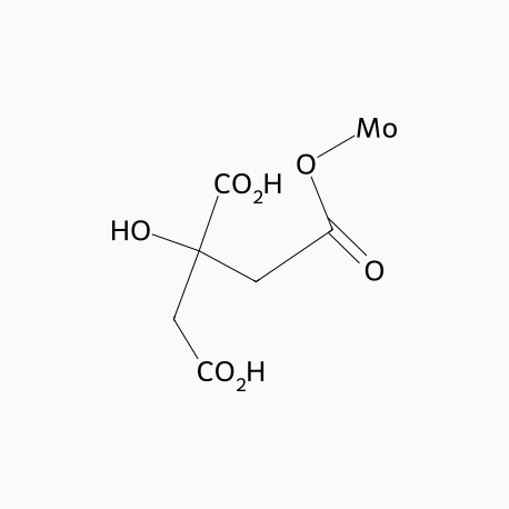 O=C(O)CC(O)(CC(=O)[O][Mo])C(=O)O